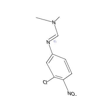 CN(C)/C=N/c1ccc([N+](=O)[O-])c(Cl)c1